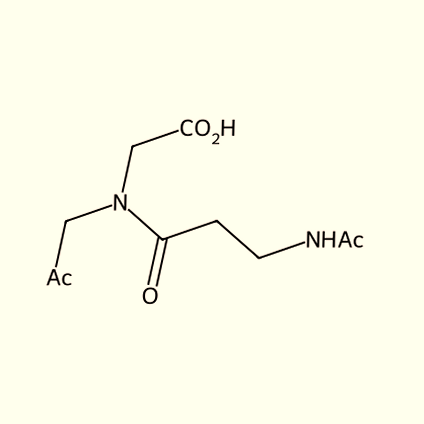 CC(=O)CN(CC(=O)O)C(=O)CCNC(C)=O